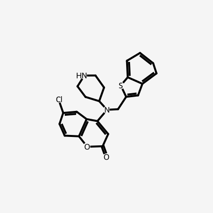 O=c1cc(N(Cc2cc3ccccc3s2)C2CCNCC2)c2cc(Cl)ccc2o1